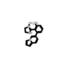 Cc1cccc(-c2ccc3cccn3c2)c1C1=[N+](C)CCN1